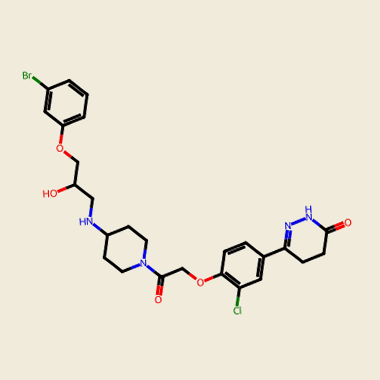 O=C1CCC(c2ccc(OCC(=O)N3CCC(NCC(O)COc4cccc(Br)c4)CC3)c(Cl)c2)=NN1